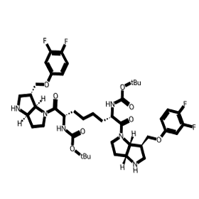 CC(C)(C)OC(=O)N[C@@H](CCCC[C@H](NC(=O)OC(C)(C)C)C(=O)N1CC[C@H]2NC[C@H](COc3ccc(F)c(F)c3)[C@H]21)C(=O)N1CC[C@H]2NC[C@H](COc3ccc(F)c(F)c3)[C@H]21